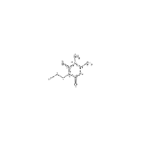 Cc1cc(=O)n(CCF)c(=O)n1N